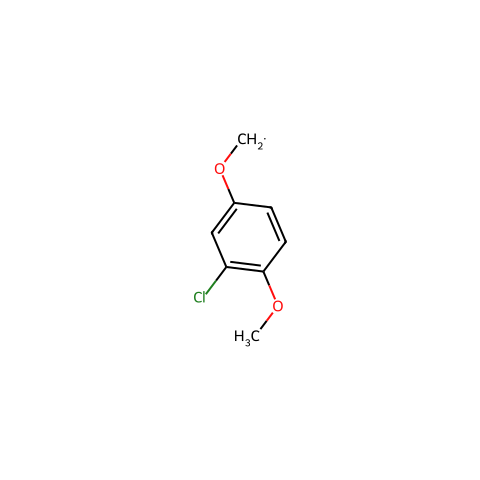 [CH2]Oc1ccc(OC)c(Cl)c1